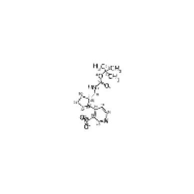 CC(C)(C)OC(=O)NC[C@H]1CCCN1c1ccncc1[N+](=O)[O-]